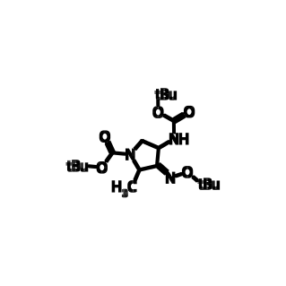 CC1C(=NOC(C)(C)C)C(NC(=O)OC(C)(C)C)CN1C(=O)OC(C)(C)C